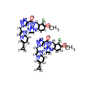 COc1ccc(-n2ccnn2)c(CNC(=O)c2cn(Cc3cn4cc(C5CC5)ccc4n3)nn2)c1F.COc1ccc(-n2ccnn2)c(CNC(=O)c2cn(Cc3cn4cc(C5CC5)ccc4n3)nn2)c1F